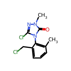 Cc1cccc(CCl)c1-n1c(Cl)nn(C)c1=O